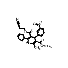 COC(=O)C1=C(C)NC(c2ccccc2)=C(C(=O)OCCC#N)C1c1cccc([N+](=O)[O-])c1